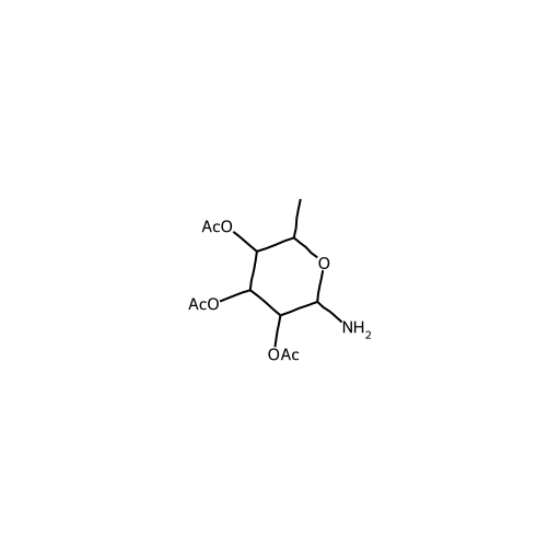 CC(=O)OC1C(C)OC(N)C(OC(C)=O)C1OC(C)=O